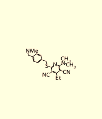 CCc1c(C#N)c(SCc2ccc(CNC)cc2)nc(N(C)C)c1C#N